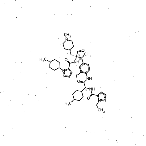 CCn1nccc1C(=O)N[C@H](C(=O)Nc1ccc([C@H](C)[C@@](C=O)(CN2CCN(C)CC2)NC(=O)c2ccnn2C2CCN(C)CC2)cc1F)[C@H]1CC[C@H](C)CC1